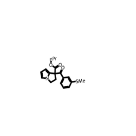 CCCOC(=O)C1(C(=O)c2cccc(SC)c2)CCn2cccc21